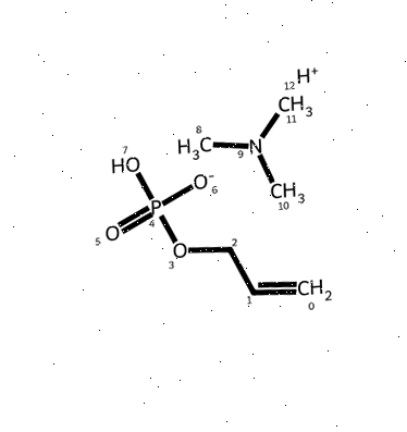 C=CCOP(=O)([O-])O.CN(C)C.[H+]